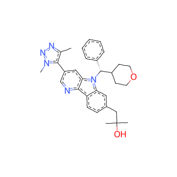 Cc1nnn(C)c1-c1cnc2c3ccc(CC(C)(C)O)cc3n([C@H](c3ccccc3)C3CCOCC3)c2c1